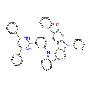 C1=C(c2ccccc2)NC(c2cccc(-n3c4ccccc4c4ccc5c(c6cc7c(cc6n5-c5ccccc5)oc5ccccc57)c43)c2)NC1c1ccccc1